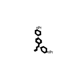 C=CCC(c1ccc([C@H]2CC[C@H](CCC)CC2)cc1)[C@H]1CC[C@H](CCC)CC1